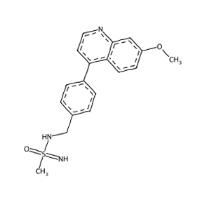 COc1ccc2c(-c3ccc(CNS(C)(=N)=O)cc3)ccnc2c1